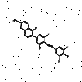 CCCc1ccc2c(F)c(-c3cc(F)c(C#Cc4cc(F)c(F)c(F)c4)c(F)c3)ccc2c1